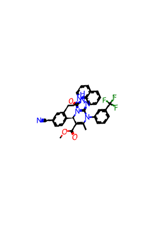 COC(=O)C1=C(C)N(c2cccc(C(F)(F)F)c2)c2n[nH]c(=O)n2[C@@H]1c1ccc(C#N)cc1CC[n+]1cccc2ccccc21